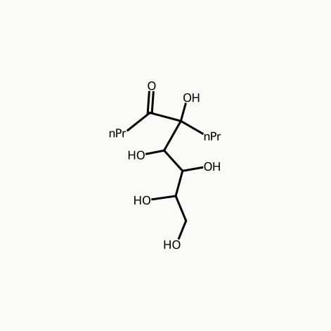 CCCC(=O)C(O)(CCC)C(O)C(O)C(O)CO